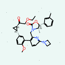 CCOCC(=O)[C@@H]1C[C@H]1c1ccc(OC)c(-c2ccc(N3CCC3)nc2CN2C(=O)O[C@H](c3cccc(C)c3)[C@@H]2C)c1